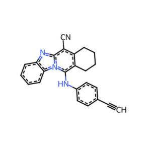 C#Cc1ccc(Nc2c3c(c(C#N)c4nc5ccccc5n24)CCCC3)cc1